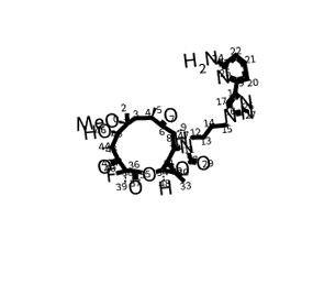 CO[C@@]1(C)C[C@@H](C)C(=O)[C@H](C)[C@H]2N(CCCCn3cc(-c4cccc(N)n4)nn3)C(=O)O[C@@]23C(C)[C@H]3OC(=O)[C@@](C)(F)C(=O)[C@H](C)[C@H]1O